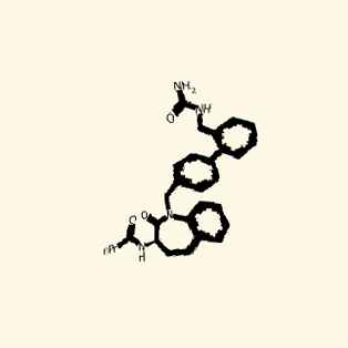 CCCC(=O)N[C@@H]1CCc2ccccc2N(Cc2ccc(-c3ccccc3CNC(N)=O)cc2)C1=O